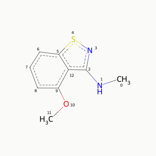 CNc1nsc2cccc(OC)c12